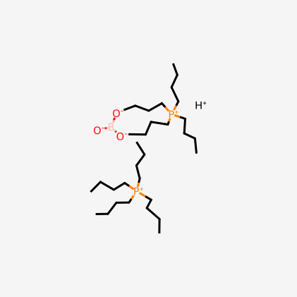 CCCC[P+](CCCC)(CCCC)CCCC.CCCC[P+](CCCC)(CCCC)CCCC.[H+].[O-]B([O-])[O-]